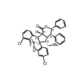 CC(C)(C)C[C@H]1N2[C@H](c3ccccc3)[C@H](c3ccccc3)OC(=O)[C@H]2[C@H](c2cccc(Cl)c2F)[C@@]12C(=O)Nc1cc(Cl)ccc12